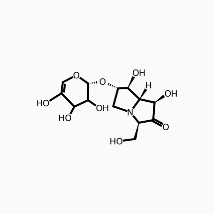 O=C1[C@@H](CO)N2C[C@H](O[C@H]3OC=C(O)C(O)C3O)[C@@H](O)[C@@H]2[C@H]1O